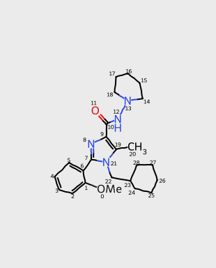 COc1ccccc1-c1nc(C(=O)NN2CCCCC2)c(C)n1CC1CCCCC1